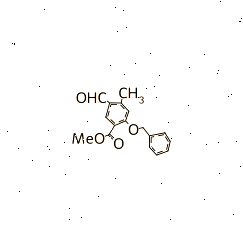 COC(=O)c1cc(C=O)c(C)cc1OCc1ccccc1